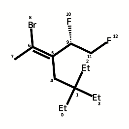 CCC(CC)(CC)C/C(=C(\C)Br)[C@H](F)CF